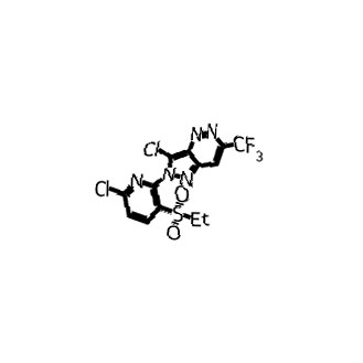 CCS(=O)(=O)c1ccc(Cl)nc1-n1nc2cc(C(F)(F)F)nnc2c1Cl